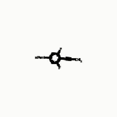 CC#Cc1c(F)cc(CCCCC)cc1F